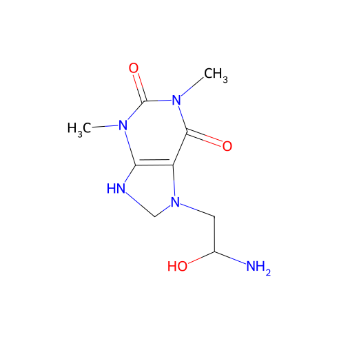 Cn1c2c(c(=O)n(C)c1=O)N(CC(N)O)CN2